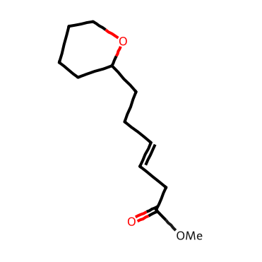 COC(=O)CC=CCCC1CCCCO1